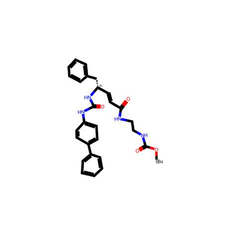 CC(C)(C)OC(=O)NCCNC(=O)C=C[C@@H](Cc1ccccc1)NC(=O)Nc1ccc(-c2ccccc2)cc1